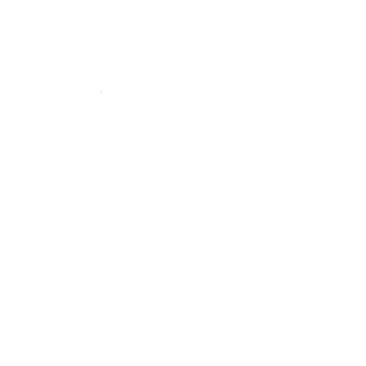 CCCCCCCCOC(=O)CC(O)(CC(=O)O)C(=O)OCCCCCCCC